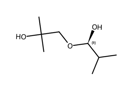 CC(C)[C@H](O)OCC(C)(C)O